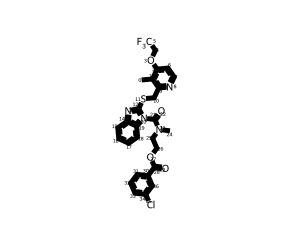 Cc1c(OCC(F)(F)F)ccnc1CSc1nc2ccccc2n1C(=O)N(C)CCOC(=O)c1cccc(Cl)c1